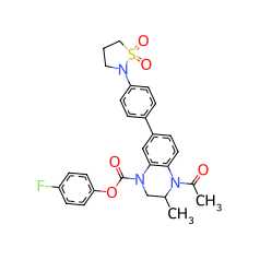 CC(=O)N1c2ccc(-c3ccc(N4CCCS4(=O)=O)cc3)cc2N(C(=O)Oc2ccc(F)cc2)CC1C